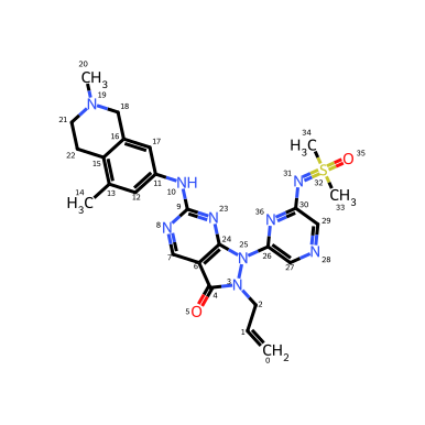 C=CCn1c(=O)c2cnc(Nc3cc(C)c4c(c3)CN(C)CC4)nc2n1-c1cncc(N=S(C)(C)=O)n1